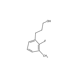 Cc1cccc(CCCO)c1F